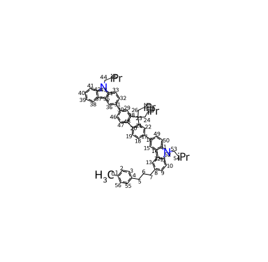 Cc1ccc(CCCc2ccc3c(c2)c2cc(-c4ccc5c(c4)C(CC(C)C)(CC(C)C)c4cc(-c6ccc7c(c6)c6ccccc6n7CC(C)C)ccc4-5)ccc2n3CC(C)C)cc1